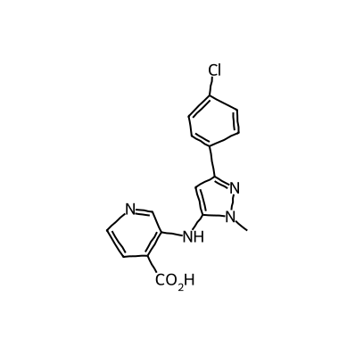 Cn1nc(-c2ccc(Cl)cc2)cc1Nc1cnccc1C(=O)O